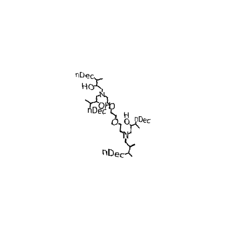 CCCCCCCCCCC(C)C(C)CN(CCOCCOCCN(CC(O)C(C)CCCCCCCCCC)CC(O)C(C)CCCCCCCCCC)CC(O)C(C)CCCCCCCCCC